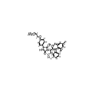 COCCOc1ccc(C2NC(=O)N([C@H](C(=O)Nc3c(F)cc(I)cc3F)[C@@H](C)c3ccccc3)C2=O)cc1